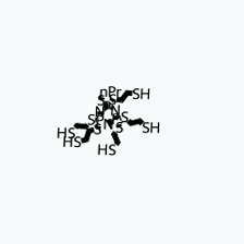 CCCSP1(SCCS)=NP(SCCS)(SCCS)=NP(SCCS)(SCCS)=N1